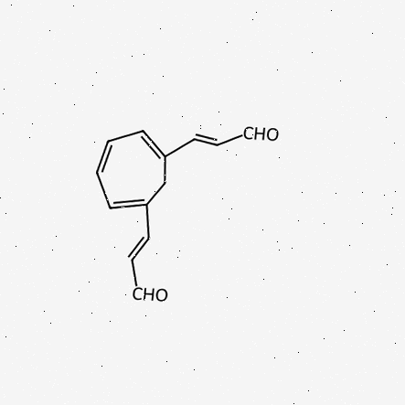 O=CC=CC1=CC=CC=C(C=CC=O)C1